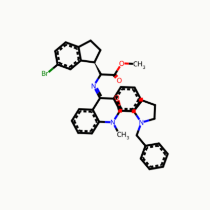 COC(=O)C(/N=C(\c1ccccc1)c1ccccc1N(C)C(=O)C1CCCN1Cc1ccccc1)[C@@H]1CCc2ccc(Br)cc21